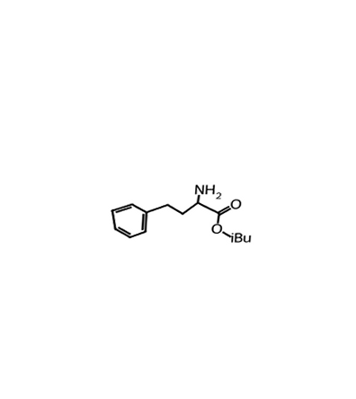 CCC(C)OC(=O)C(N)CCc1ccccc1